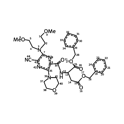 COCCN(CCOC)c1nc(C(=O)NC(CC(=O)OCc2ccccc2)C(=O)OCc2ccccc2)c(N2CCOCC2)nc1C#N